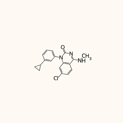 CNc1nc(=O)n(-c2cccc(C3CC3)c2)c2cc(Cl)ccc12